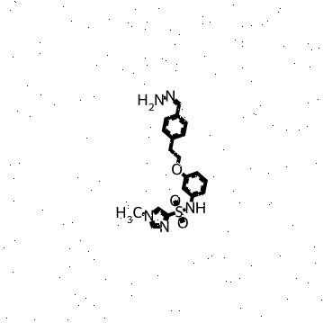 Cn1cnc(S(=O)(=O)Nc2cccc(OCCc3ccc(/C=N\N)cc3)c2)c1